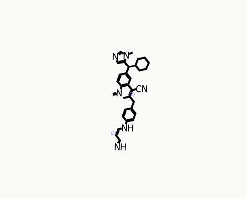 C=Nc1ccc(C(c2cncn2C)C2CCCCC2)cc1/C(C#N)=C(\C)Cc1ccc(N/C=C\C=N)cc1